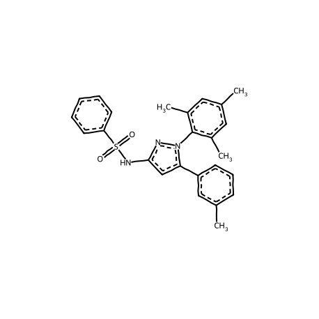 Cc1cccc(-c2cc(NS(=O)(=O)c3ccccc3)nn2-c2c(C)cc(C)cc2C)c1